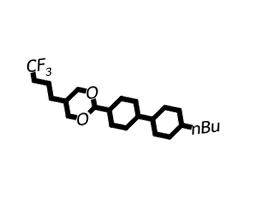 CCCCC1CCC(C2CCC(C3OCC(CCCC(F)(F)F)CO3)CC2)CC1